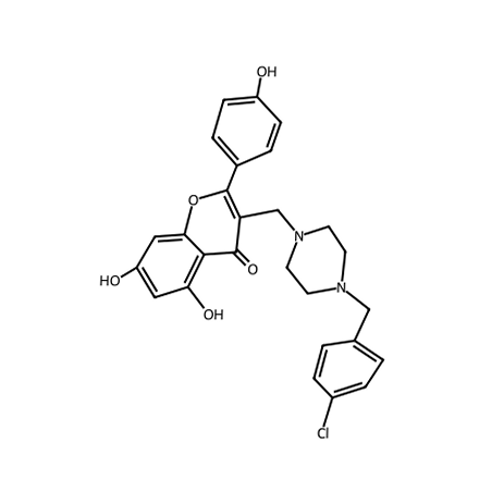 O=c1c(CN2CCN(Cc3ccc(Cl)cc3)CC2)c(-c2ccc(O)cc2)oc2cc(O)cc(O)c12